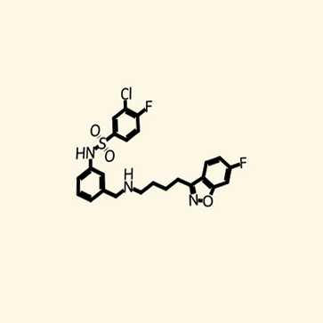 O=S(=O)(Nc1cccc(CNCCCCc2noc3cc(F)ccc23)c1)c1ccc(F)c(Cl)c1